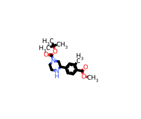 COC(=O)c1ccc(C2CN(C(=O)OC(C)(C)C)CCN2)cc1C